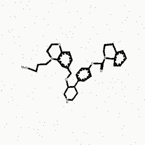 COCCCN1CCOc2ccc(COC3CNCCC3c3ccc(OC(=O)N4CCCc5ccccc54)cc3)cc21